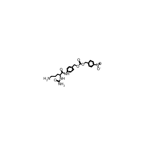 NCCCC(NC(N)=O)C(=O)Nc1ccc(COC(=O)OCc2ccc([N+](=O)[O-])cc2)cc1